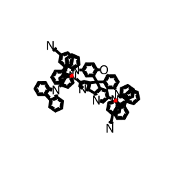 N#Cc1ccc2c(c1)c1ccccc1n2-c1ccc2c(c1)C1(c3cc(-n4c5ccc(C#N)cc5c5cc(-n6c7ccccc7c7ccccc76)ccc54)ccc3O2)c2cc(-n3c4ccccc4c4ccccc43)cnc2-c2ncc(-n3c4ccccc4c4ccccc43)cc21